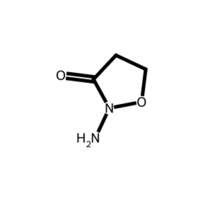 NN1OCCC1=O